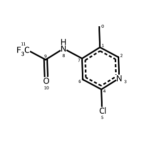 Cc1cnc(Cl)cc1NC(=O)C(F)(F)F